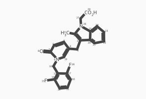 Cc1c(Cc2ccc(=O)n(Cc3c(F)cccc3F)c2)c2ccccc2n1CC(=O)O